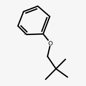 CC(C)(C)COc1[c]cccc1